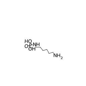 NCCCCCCNP(=O)(O)O